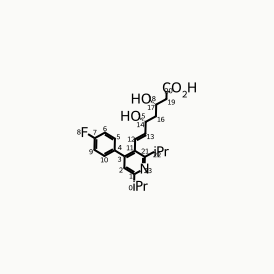 CC(C)c1cc(-c2ccc(F)cc2)c(/C=C/[C@H](O)C[C@H](O)CC(=O)O)c(C(C)C)n1